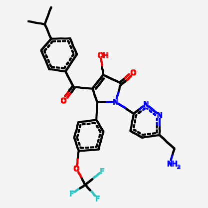 CC(C)c1ccc(C(=O)C2=C(O)C(=O)N(c3ccc(CN)nn3)C2c2ccc(OC(F)(F)F)cc2)cc1